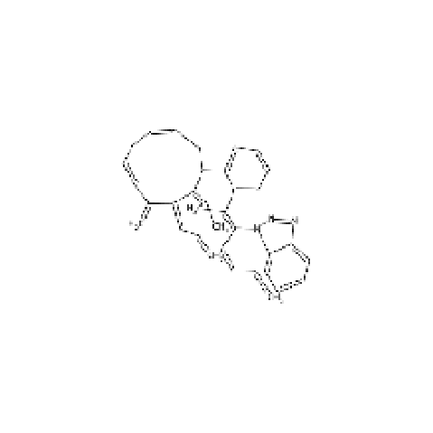 C=C/C=C\C(=C(/C)c1ccccc1C1C/C=C\C/C=C\C(=C)C(=C/C=C)/C1=C\C)n1nnc2ccccc21